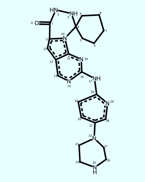 O=C1NNC2(CCCCC2)n2c1cc1cnc(Nc3ccc(N4CCNCC4)cn3)nc12